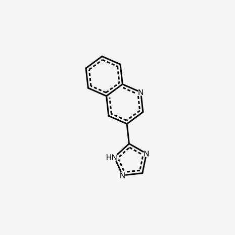 c1ccc2ncc(-c3ncn[nH]3)cc2c1